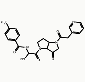 CCCC(NC(=O)c1ccc(C)cc1)C(=O)N1CCC2C1C(=O)CN2C(=O)Cc1cccnc1